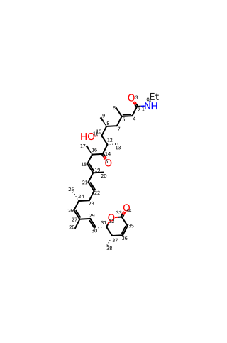 CCNC(=O)/C=C(\C)C[C@H](C)[C@@H](O)[C@H](C)C(=O)[C@H](C)/C=C(C)/C=C/C[C@@H](C)/C=C(C)\C=C\[C@@H]1OC(=O)C=C[C@@H]1C